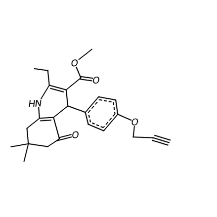 C#CCOc1ccc(C2C3=C(CC(C)(C)CC3=O)NC(CC)=C2C(=O)OC)cc1